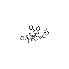 C=C1S[C@@H]2[C@H](NC(=O)Cc3ccccc3)C(=O)N2C(C(=O)OC(c2ccccc2)c2ccccc2)=C1COc1ccc2ccc(=O)oc2c1